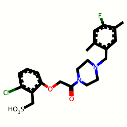 Cc1cc(CN2CCN(C(=O)COc3cccc(Cl)c3CS(=O)(=O)O)CC2)c(C)cc1F